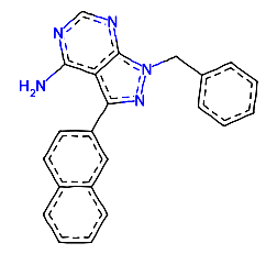 Nc1ncnc2c1c(-c1ccc3ccccc3c1)nn2Cc1ccccc1